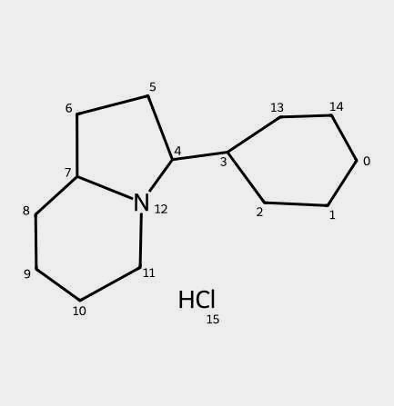 C1CCC(C2CCC3CCCCN32)CC1.Cl